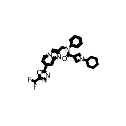 O=C(C1CN(C2CCCCC2)C1)N(Cc1cn2ccc(-c3nnc(C(F)F)o3)cc2n1)c1ccccc1